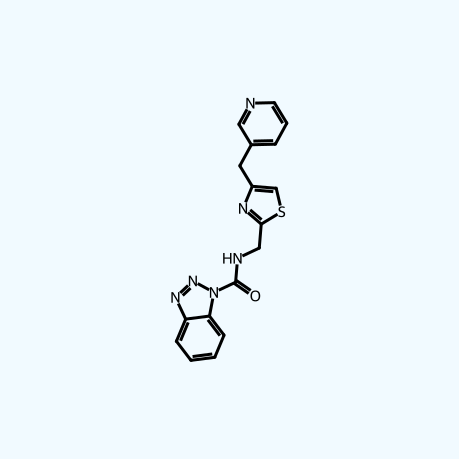 O=C(NCc1nc(Cc2cccnc2)cs1)n1nnc2ccccc21